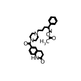 CC(=O)ON=C(CCCN1CCN(C(=O)c2ccc3c(c2)CCC(=O)N3)CC1)c1ccccc1